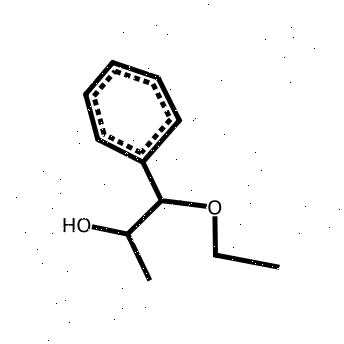 CCOC(c1ccccc1)C(C)O